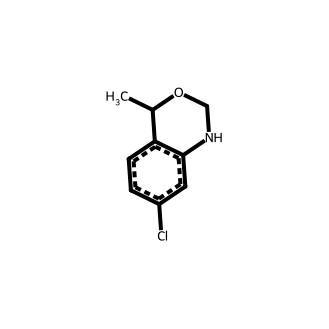 CC1OCNc2cc(Cl)ccc21